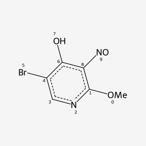 COc1ncc(Br)c(O)c1N=O